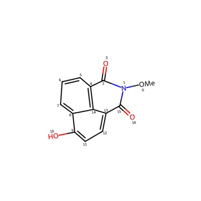 CON1C(=O)c2cccc3c(O)ccc(c23)C1=O